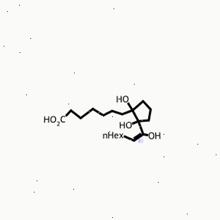 CCCCCC/C=C(/O)C1(O)CCCC1(O)CCCCCCC(=O)O